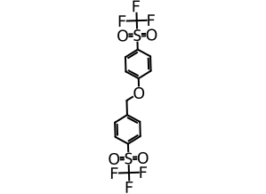 O=S(=O)(c1ccc(COc2ccc(S(=O)(=O)C(F)(F)F)cc2)cc1)C(F)(F)F